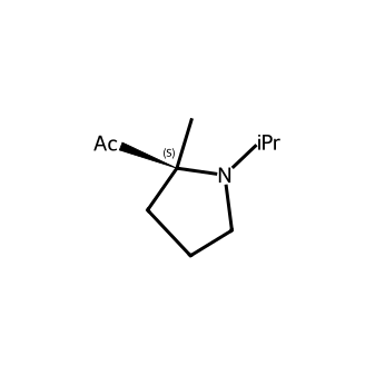 CC(=O)[C@]1(C)CCCN1C(C)C